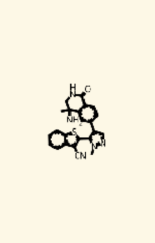 Cn1ncc(-c2ccc3c(c2)C(C)(N)CNC3=O)c1-c1sc2ccccc2c1C#N